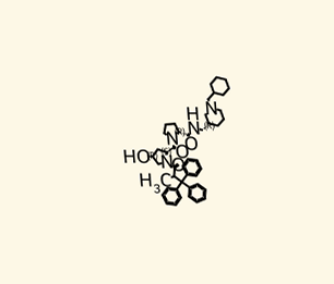 CC(C(=O)N1C[C@H](O)C[C@H]1C(=O)N1CCC[C@@H]1C(=O)NC[C@H]1CCCN(CC2CCCCC2)C1)C(c1ccccc1)(c1ccccc1)c1ccccc1